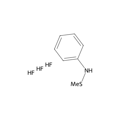 CSNc1ccccc1.F.F.F